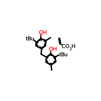 C=CC(=O)O.Cc1cc(Cc2cc(C)c(O)c(C(C)(C)C)c2)c(O)c(C(C)(C)C)c1